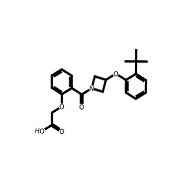 CC(C)(C)c1ccccc1OC1CN(C(=O)c2ccccc2OCC(=O)O)C1